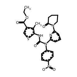 CCOC(=O)c1csc(NC(=O)N(c2ccc([N+](=O)[O-])cc2)c2cccc(N3CCCCC3=O)n2)c1C